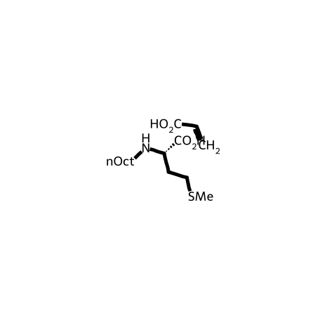 C=CC(=O)O.CCCCCCCCN[C@@H](CCSC)C(=O)O